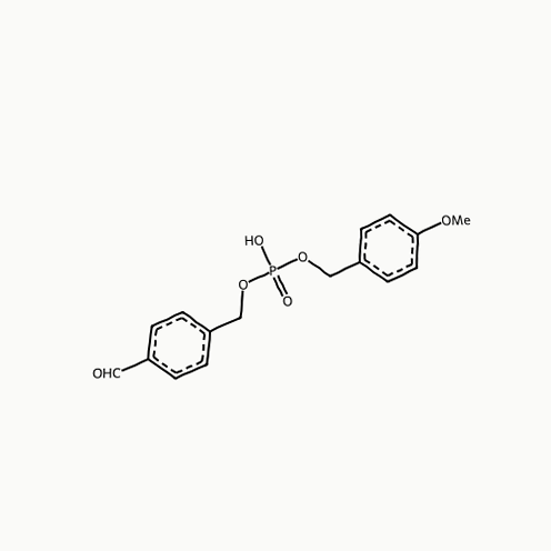 COc1ccc(COP(=O)(O)OCc2ccc(C=O)cc2)cc1